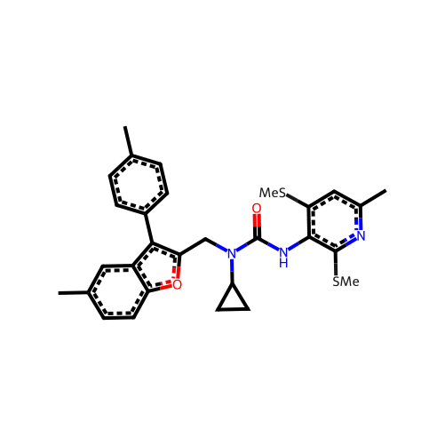 CSc1cc(C)nc(SC)c1NC(=O)N(Cc1oc2ccc(C)cc2c1-c1ccc(C)cc1)C1CC1